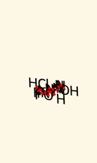 Cl.O=C(c1cnn(C2CCN(c3nnc(CO)[nH]3)CC2)c1C1CC1)N1CC[C@@H](c2ccccc2C(F)(F)F)C1